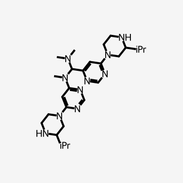 CC(C)C1CN(c2cc(C(N(C)C)N(C)c3cc(N4CCNC(C(C)C)C4)ncn3)ncn2)CCN1